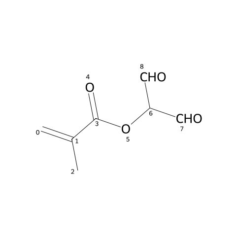 C=C(C)C(=O)OC(C=O)C=O